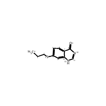 CCCSc1ccc2c(=O)nc[nH]c2c1